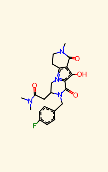 CN(C)C(=O)CC1Cn2c3c(c(O)c2C(=O)N1Cc1ccc(F)cc1)C(=O)N(C)CC3